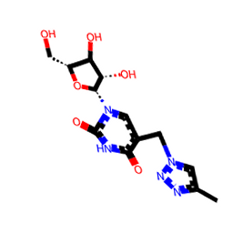 Cc1cn(Cc2cn([C@@H]3O[C@H](CO)C(O)[C@@H]3O)c(=O)[nH]c2=O)nn1